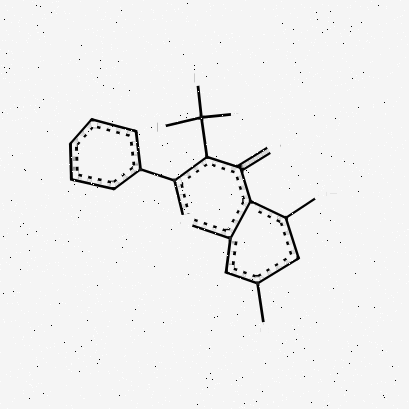 O=c1c(C(F)(F)F)c(-c2ccccc2)oc2cc(O)cc(O)c12